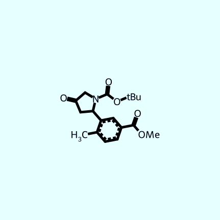 COC(=O)c1ccc(C)c(C2CC(=O)CN2C(=O)OC(C)(C)C)c1